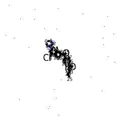 C/C=C\C(=C/C)c1cc(Cl)c2ccc(C(=O)N3CCN(C(=O)OCCC)CC3)cc2n1